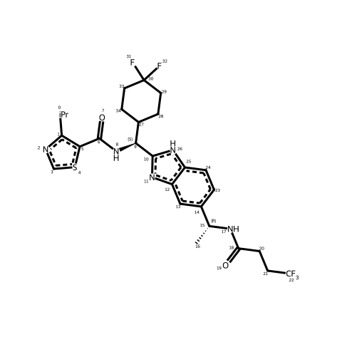 CC(C)c1ncsc1C(=O)N[C@H](c1nc2cc([C@@H](C)NC(=O)CCC(F)(F)F)ccc2[nH]1)C1CCC(F)(F)CC1